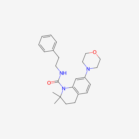 CC1(C)CCc2ccc(N3CCOCC3)cc2N1C(=O)NCCc1ccccc1